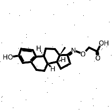 C[C@]12CC[C@@H]3c4ccc(O)cc4CC[C@H]3[C@@H]1CCC2=NOCC(=O)O